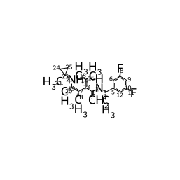 C=C(NC(C)c1cc(F)cc(F)c1)C(=C(C)C)/C(C)=C(/C)NC1(C)CC1